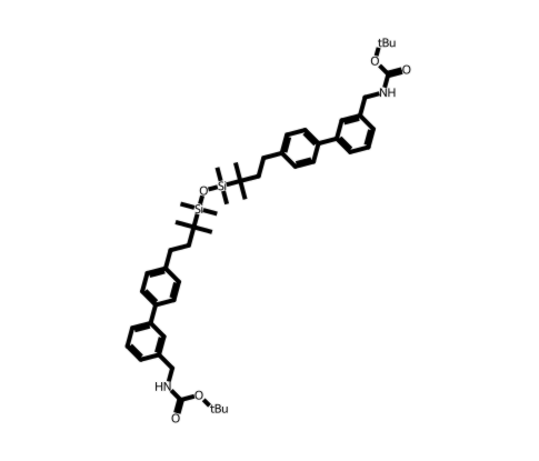 CC(C)(C)OC(=O)NCc1cccc(-c2ccc(CCC(C)(C)[Si](C)(C)O[Si](C)(C)C(C)(C)CCc3ccc(-c4cccc(CNC(=O)OC(C)(C)C)c4)cc3)cc2)c1